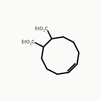 CCOC(=O)C1CCCC=CCCCC1C(=O)OCC